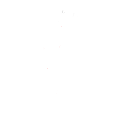 CC(C)(C)CC(C(=O)OCCCC(O)C(O)CCCOc1ccc(-c2cc3ccccc3o2)cc1)C(C)(C)C